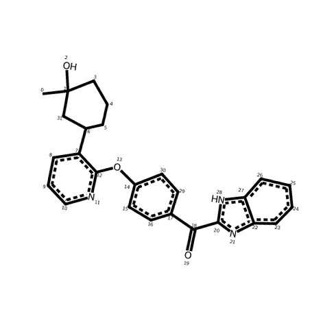 CC1(O)CCCC(c2cccnc2Oc2ccc(C(=O)c3nc4ccccc4[nH]3)cc2)C1